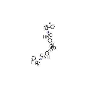 Cn1ncc(/C=C/C(=O)Nc2ccc(CO[PH](=O)OCc3ccc(NC(=O)/C=C/c4cnn(C)c4-c4ccccc4F)cc3)cc2)c1-c1ccccc1F